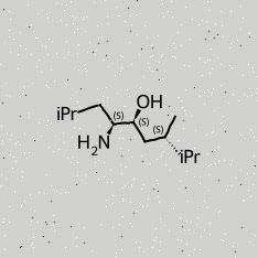 CC(C)C[C@H](N)[C@@H](O)C[C@H](C)C(C)C